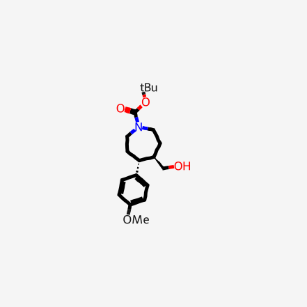 COc1ccc([C@@H]2CCN(C(=O)OC(C)(C)C)CC[C@H]2CO)cc1